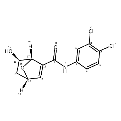 O=C(Nc1ccc(Cl)c(Cl)c1)C1=C[C@@H]2C[C@@H](O)[C@H]1O2